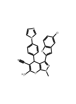 Cn1nc(-c2cc3cc(Cl)ccc3o2)c2c1OC(N)=C(C#N)C2c1ccc(-n2ccnc2)cc1